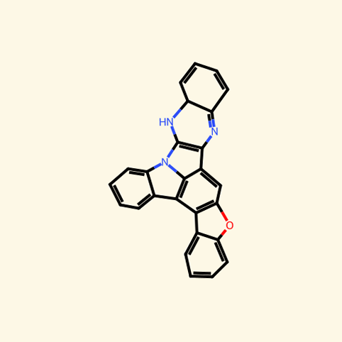 C1=CC2=Nc3c(n4c5ccccc5c5c6c(cc3c54)oc3ccccc36)NC2C=C1